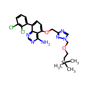 C[Si](C)(C)CCOCn1cnc(COc2ccc(-c3cccc(Cl)c3Cl)c3ncnc(N)c23)n1